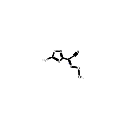 CO/N=C(\C#N)c1nsc(N)n1